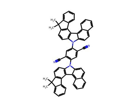 CC1(C)c2ccccc2-c2c1ccc1c2c2c3ccccc3ccc2n1-c1cc(C#N)c(-n2c3ccc4c(c3c3c5ccccc5ccc32)-c2ccccc2C4(C)C)cc1C#N